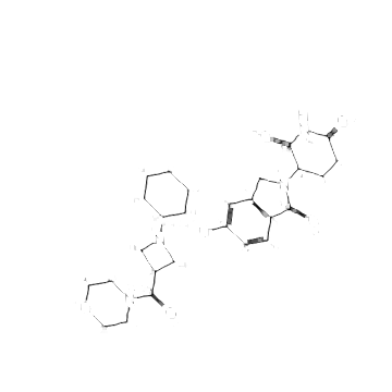 O=C1CCC(N2Cc3cc(O[C@H]4CCCC[C@@H]4N4CC(C(=O)N5CCOCC5)C4)ccc3C2=O)C(=O)N1